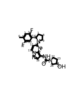 Cc1cc(F)c([C@H]2CCCN2c2ccn3ncc(NC(=O)N4CC[C@H](O)C4)c3n2)cc1F